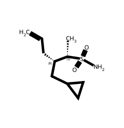 C=CC[C@@H](CC1CC1)[C@H](C)S(N)(=O)=O